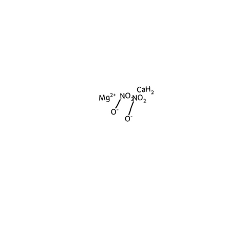 O=[N+]([O-])[O-].O=[N+]([O-])[O-].[CaH2].[Mg+2]